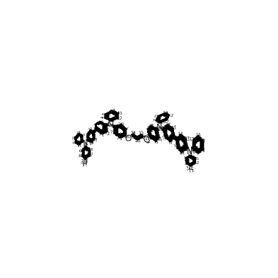 [3H]c1ccc(N(c2ccccc2)c2ccc(-c3ccc(N(c4ccccc4)c4ccc(OCCCOc5ccc(N(c6ccccc6)c6ccc(-c7ccc(N(c8ccccc8)c8ccc([3H])cc8)cc7)cc6)cc5)cc4)cc3)cc2)cc1